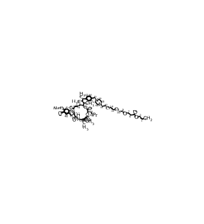 C=CCOC(=O)CCOCCOCCOCCN1CCN(Cc2ccc(C(C)[C@H](C)[C@@H](C)[C@@H]3C/C=C/C(=O)N[C@H](Cc4ccc(OC)c(Cl)c4)C(=O)NCC(C)(C)C(=O)O[C@@H](CC(C)C)C(=O)O3)cc2)CC1